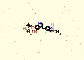 COc1cc2c(Cc3ccc4[nH]c(C)cc4c3F)ccnc2cc1OCC1(C)CC1